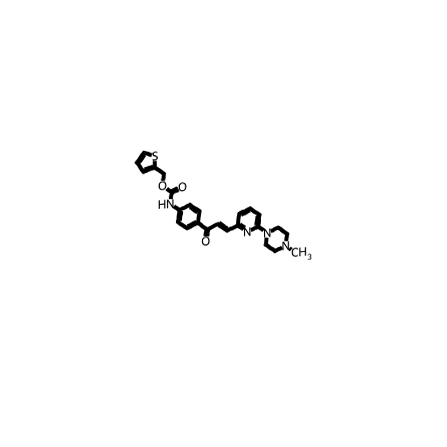 CN1CCN(c2cccc(C=CC(=O)c3ccc(NC(=O)OCc4cccs4)cc3)n2)CC1